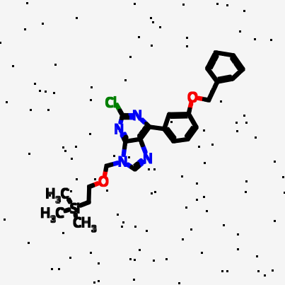 C[Si](C)(C)CCOCn1cnc2c(-c3cccc(OCc4ccccc4)c3)nc(Cl)nc21